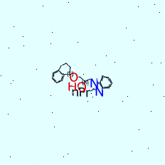 CCCc1nc2ccccc2n1C[C@@H](O)CO[C@H]1CCCc2ccccc21